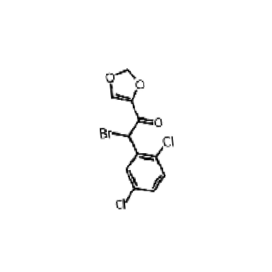 O=C(C1=COCO1)C(Br)c1cc(Cl)ccc1Cl